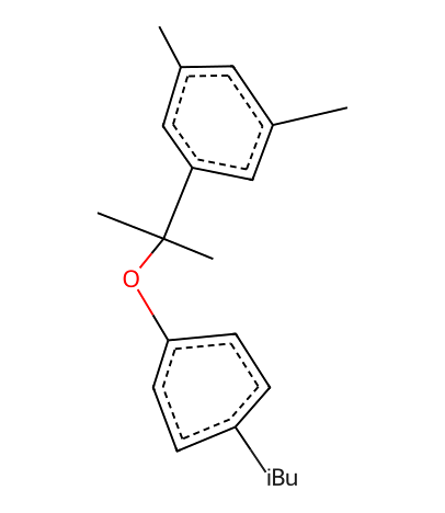 CCC(C)c1ccc(OC(C)(C)c2cc(C)cc(C)c2)cc1